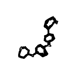 c1cc(-c2ccc(Oc3ccc(OC4CCOCC4)cc3)cc2)[nH]n1